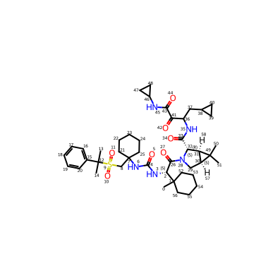 CC1([C@H](NC(=O)NC2(CS(=O)(=O)C(C)(C)c3ccccc3)CCCCC2)C(=O)N2C[C@H]3[C@@H]([C@H]2C(=O)NC(CC2CC2)C(=O)C(=O)NC2CC2)C3(C)C)CCCCC1